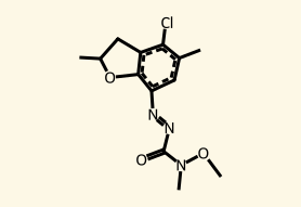 CON(C)C(=O)N=Nc1cc(C)c(Cl)c2c1OC(C)C2